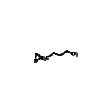 C1CO1.CCCCC